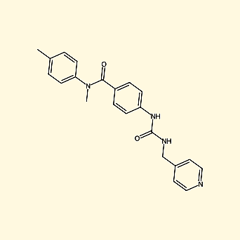 Cc1ccc(N(C)C(=O)c2ccc(NC(=O)NCc3ccncc3)cc2)cc1